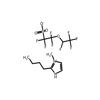 CCCCc1[nH]cc[n+]1C.O=S(=O)([O-])C(F)(F)C(F)(F)OC(F)C(F)(F)F